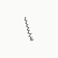 FCCCCCCCCCCC[CH2][Sb]